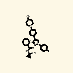 N#CC1CCN(c2ccc(-c3cn(-c4ccc(F)cc4)nc3[C@@H]3CCCCC3C(=O)NC3(C#N)CC3)cc2)CC1